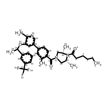 CCCCCC(=O)N1[C@H](C)CN(C(=O)c2ccc(-c3cnc(N)c(OC(C)c4cccc(C(F)(F)F)c4)c3)cc2C)C[C@@H]1C